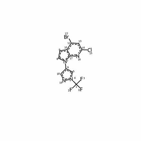 FC(F)(F)n1cc(-n2ccc3c(Br)cc(Cl)nc32)cn1